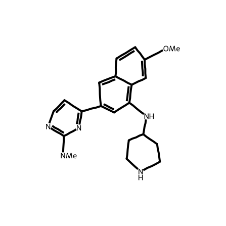 CNc1nccc(-c2cc(NC3CCNCC3)c3cc(OC)ccc3c2)n1